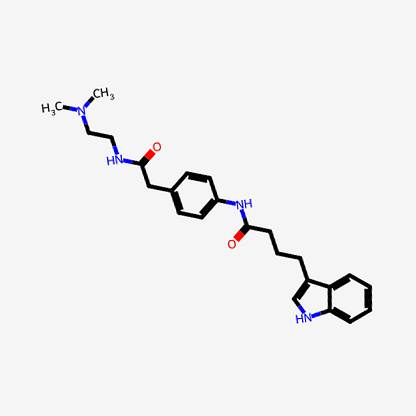 CN(C)CCNC(=O)Cc1ccc(NC(=O)CCCc2c[nH]c3ccccc23)cc1